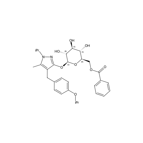 Cc1c(Cc2ccc(OC(C)C)cc2)c(O[C@@H]2O[C@H](COC(=O)c3ccccc3)[C@@H](O)[C@H](O)[C@H]2O)nn1C(C)C